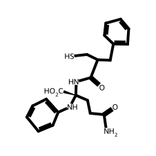 NC(=O)CC[C@@](NC(=O)C(CS)Cc1ccccc1)(Nc1ccccc1)C(=O)O